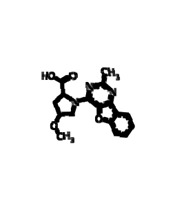 COC1CC(C(=O)O)N(c2nc(C)nc3c2oc2ccccc23)C1